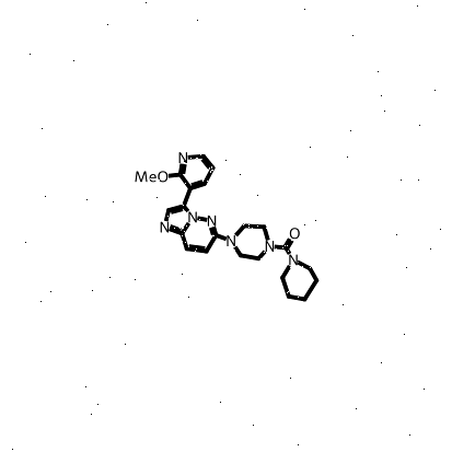 COc1ncccc1-c1cnc2ccc(N3CCN(C(=O)N4CCCCC4)CC3)nn12